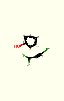 FC#CC(F)F.Oc1ccccc1